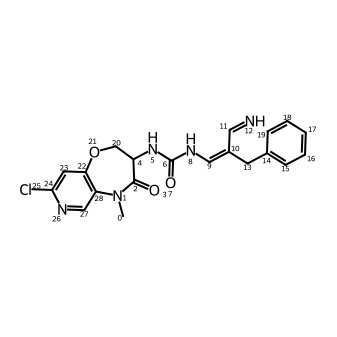 CN1C(=O)C(NC(=O)N/C=C(\C=N)Cc2ccccc2)COc2cc(Cl)ncc21